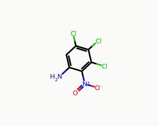 Nc1cc(Cl)c(Cl)c(Cl)c1[N+](=O)[O-]